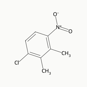 Cc1c(Cl)ccc([N+](=O)[O-])c1C